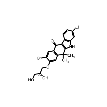 CC1(C)c2cc(OC[C@@H](O)CO)c(Br)cc2C(=O)c2c1[nH]c1cc(Cl)ccc21